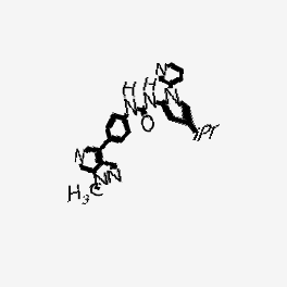 CC(C)c1cc(NC(=O)Nc2ccc(-c3cncc4c3cnn4C)cc2)n(-c2cccnc2)c1